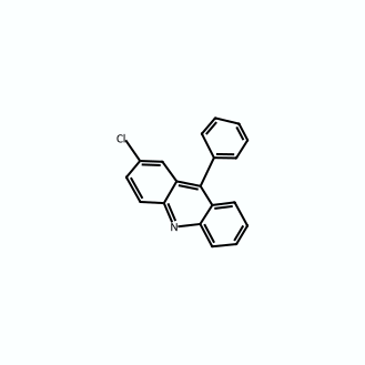 Clc1ccc2nc3ccccc3c(-c3ccccc3)c2c1